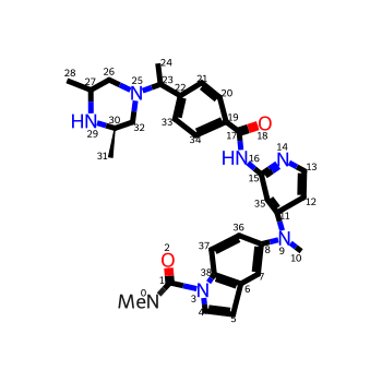 CNC(=O)n1ccc2cc(N(C)c3ccnc(NC(=O)c4ccc(C(C)N5CC(C)N[C@H](C)C5)cc4)c3)ccc21